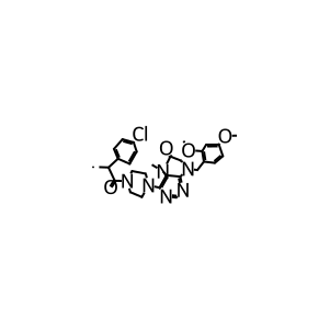 [CH2]C(C(=O)N1CCN(c2ncnc3c2N(C)C(=O)CN3Cc2ccc(OC)cc2OC)CC1)c1ccc(Cl)cc1